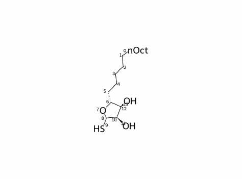 CCCCCCCCCCCCC[C@H]1OC(S)[C@H](O)[C@@H]1O